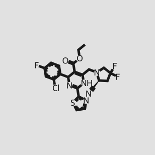 CCOC(=O)C1=C(CN2CC(F)(F)C[C@H]2C#N)NC(c2nccs2)=NC1c1ccc(F)cc1Cl